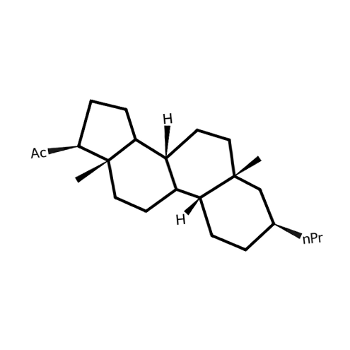 CCC[C@H]1CC[C@@H]2C3CC[C@@]4(C)C(CC[C@@H]4C(C)=O)[C@@H]3CC[C@]2(C)C1